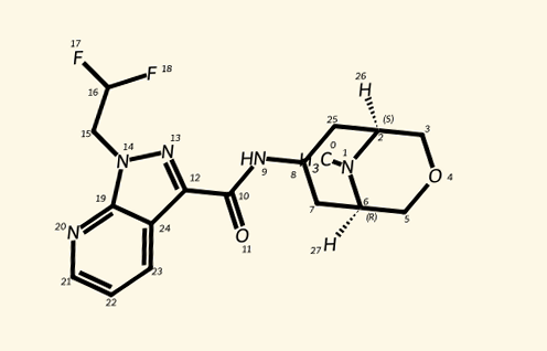 CN1[C@@H]2COC[C@H]1CC(NC(=O)c1nn(CC(F)F)c3ncccc13)C2